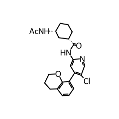 CC(=O)N[C@@H]1CCC[C@H](C(=O)Nc2cc(-c3cccc4c3OCCC4)c(Cl)cn2)C1